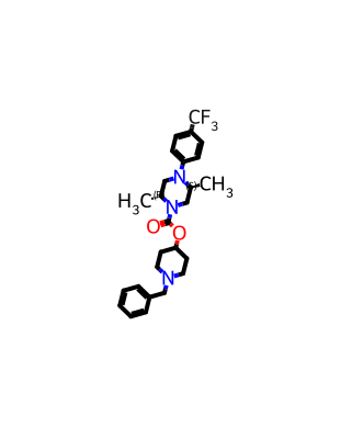 C[C@@H]1CN(c2ccc(C(F)(F)F)cc2)[C@@H](C)CN1C(=O)OC1CCN(Cc2ccccc2)CC1